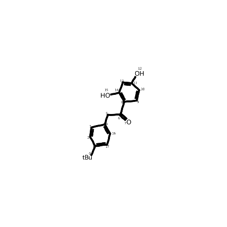 CC(C)(C)c1ccc(CC(=O)c2ccc(O)cc2O)cc1